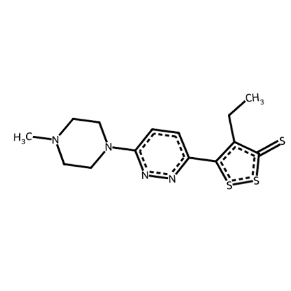 CCc1c(-c2ccc(N3CCN(C)CC3)nn2)ssc1=S